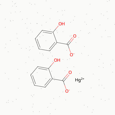 O=C([O-])c1ccccc1O.O=C([O-])c1ccccc1O.[Hg+2]